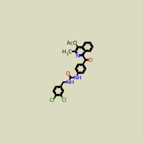 CC(=O)Oc1c(C)nc(C(=O)c2ccc(NC(=O)NCc3ccc(Cl)c(Cl)c3)cc2)c2ccccc12